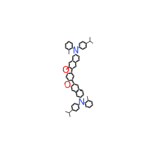 Cc1ccccc1N(c1ccc(C(C)C)cc1)c1ccc2cc3c(cc2c1)oc1cc2oc4cc5cc(N(c6ccc(C(C)C)cc6)c6ccccc6C)ccc5cc4c2cc13